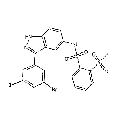 CS(=O)(=O)c1ccccc1S(=O)(=O)Nc1ccc2[nH]nc(-c3cc(Br)cc(Br)c3)c2c1